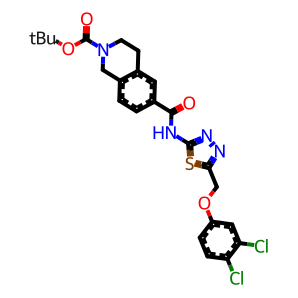 CC(C)(C)OC(=O)N1CCc2cc(C(=O)Nc3nnc(COc4ccc(Cl)c(Cl)c4)s3)ccc2C1